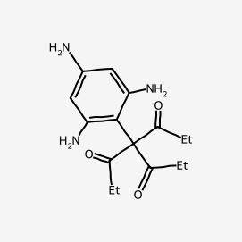 CCC(=O)C(C(=O)CC)(C(=O)CC)c1c(N)cc(N)cc1N